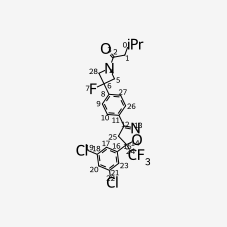 CC(C)CC(=O)N1CC(F)(c2ccc(C3=NOC(c4cc(Cl)cc(Cl)c4)(C(F)(F)F)C3)cc2)C1